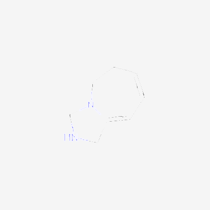 C1=CCCN2CNCC2=C1